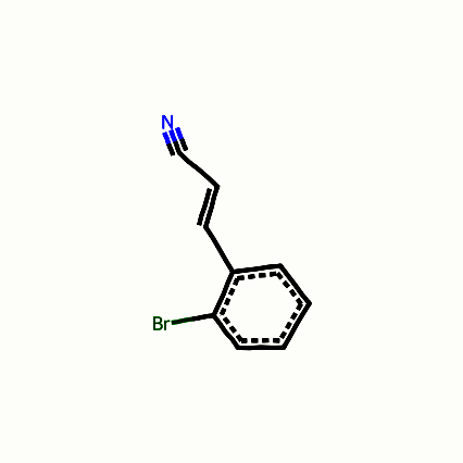 N#CC=Cc1ccccc1Br